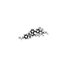 COC(=O)c1c(C)cc(-c2cccc3c2c(C)cn3S(=O)(=O)c2ccc(C)cc2)nc1Cl